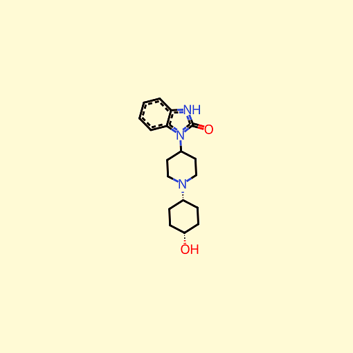 O=c1[nH]c2ccccc2n1C1CCN([C@H]2CC[C@@H](O)CC2)CC1